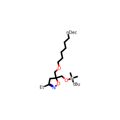 CCCCCCCCCCCCCCCCOCC1(CO[Si](C)(C)C(C)(C)C)CC(CC)=NO1